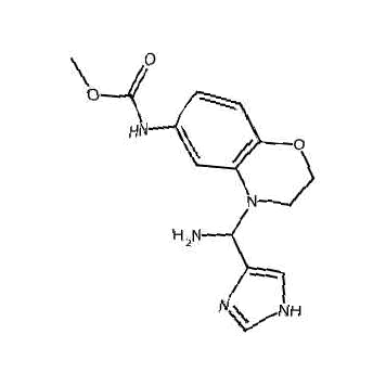 COC(=O)Nc1ccc2c(c1)N(C(N)c1c[nH]cn1)CCO2